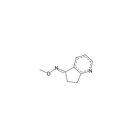 CO/N=C1\CCc2ncccc21